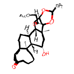 CCCC1O[C@@H]2C[C@H]3[C@@H]4CCC5=CC(=O)CC[C@]5(C)[C@H]4[C@@H](O)C[C@]3(C)[C@]2(C(=O)COC(C)=O)O1